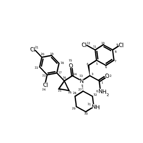 NC(=O)[C@H](Cc1ccc(Cl)cc1Cl)N(C(=O)C1(c2ccc(Cl)cc2Cl)CC1)[C@H]1CCCNC1